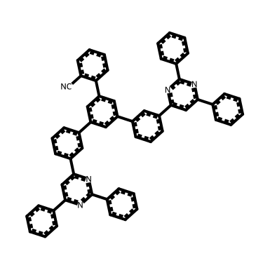 N#Cc1ccccc1-c1cc(-c2cccc(-c3cc(-c4ccccc4)nc(-c4ccccc4)n3)c2)cc(-c2cccc(-c3cc(-c4ccccc4)nc(-c4ccccc4)n3)c2)c1